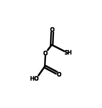 O=C(O)OC(=O)S